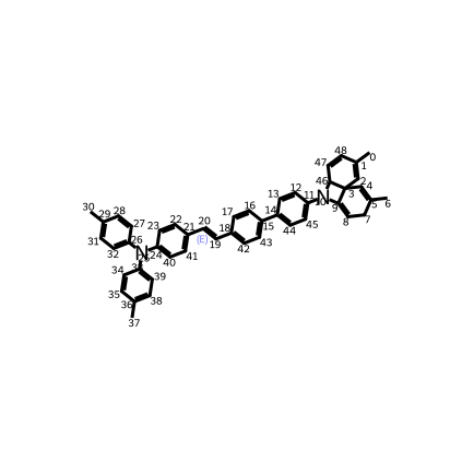 CC1=CC23C=C(C)CC=C2N(c2ccc(-c4ccc(/C=C/c5ccc(N(c6ccc(C)cc6)c6ccc(C)cc6)cc5)cc4)cc2)C3C=C1